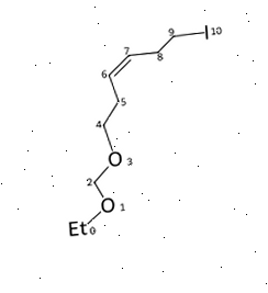 CCOCOCC/C=C\CCI